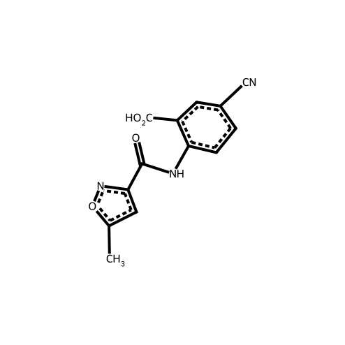 Cc1cc(C(=O)Nc2ccc(C#N)cc2C(=O)O)no1